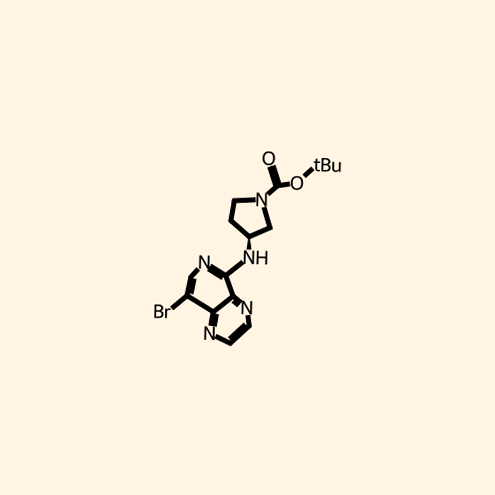 CC(C)(C)OC(=O)N1CC[C@H](Nc2ncc(Br)c3nccnc23)C1